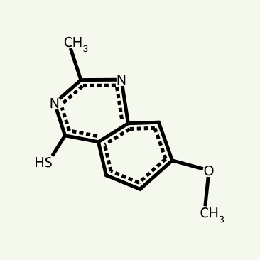 COc1ccc2c(S)nc(C)nc2c1